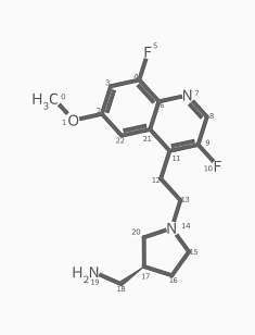 COc1cc(F)c2ncc(F)c(CCN3CC[C@@H](CN)C3)c2c1